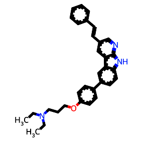 CCN(CC)CCCOc1ccc(-c2ccc3[nH]c4ncc(C=Cc5ccccc5)cc4c3c2)cc1